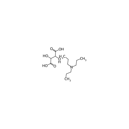 CCCN(CCC)CCC.O=C(O)C(O)C(O)C(=O)O